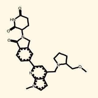 COCC1CCCN1Cc1cc(-c2ccc3c(c2)CN(C2CCC(=O)NC2=O)C3=O)nc2c1ccn2C